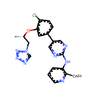 COc1ncccc1Nc1ncc(-c2ccc(Cl)c(O[C@@H](C)Cn3cnnn3)c2)cn1